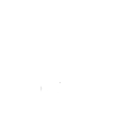 CCP(c1ccccc1)c1ccccc1.[Cl][Pd][Cl]